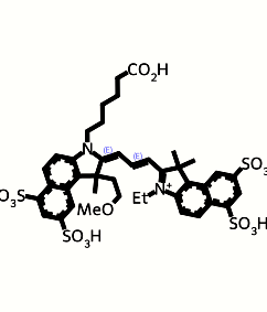 CC[N+]1=C(/C=C/C=C2/N(CCCCCC(=O)O)c3ccc4c(S(=O)(=O)O)cc(S(=O)(=O)O)cc4c3C2(C)CCOC)C(C)(C)c2c1ccc1c(S(=O)(=O)O)cc(S(=O)(=O)O)cc21